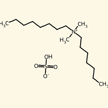 CCCCCCCC[N+](C)(C)CCCCCCC.O=S(=O)([O-])O